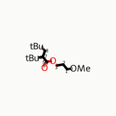 COCCCOC(=O)C(CC(C)(C)C)C(C)(C)C